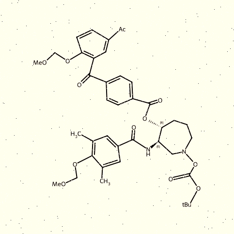 COCOc1ccc(C(C)=O)cc1C(=O)c1ccc(C(=O)O[C@@H]2CCCN(OC(=O)OC(C)(C)C)C[C@H]2NC(=O)c2cc(C)c(OCOC)c(C)c2)cc1